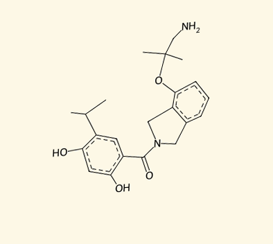 CC(C)c1cc(C(=O)N2Cc3cccc(OC(C)(C)CN)c3C2)c(O)cc1O